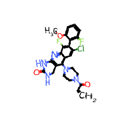 C=CC(=O)N1CCN(c2c3c(nc4c(F)c(-c5c(F)cccc5OC)c(Cl)cc24)NC(=O)NC3)CC1